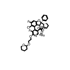 CCCCOC(=O)N1CCC[C@H]1[C@@]1(c2ccccc2)Cc2c(cc(F)c(Cl)c2-c2c(C(=O)NC)cnc(OCCOC3CCCCO3)c2F)O1